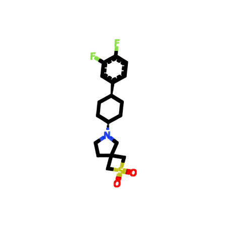 O=S1(=O)CC2(CCN([C@H]3CC[C@H](c4ccc(F)c(F)c4)CC3)C2)C1